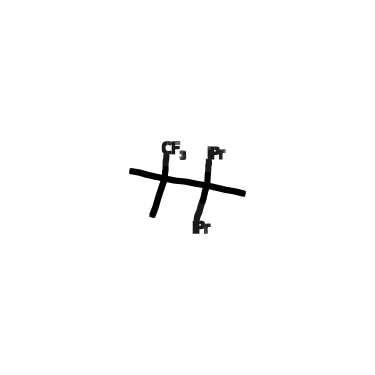 CC(C)C(C)(C(C)C)C(C)(C)C(F)(F)F